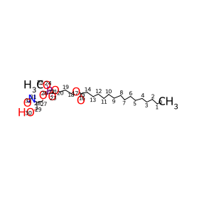 CCCCCCCCCCCCCCCC(=O)OCCCOP(=O)(OC)OCC(CO)N=O